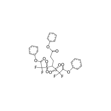 O=C(CCC(S(=O)(=O)C(F)(F)C(=O)Oc1ccccc1)S(=O)(=O)C(F)(F)C(=O)Oc1ccccc1)Oc1ccccc1